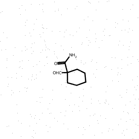 NC(=O)C1(C=O)CCCCC1